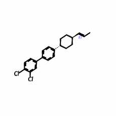 C/C=C/[C@H]1CC[C@H](c2ccc(-c3ccc(Cl)c(Cl)c3)cc2)CC1